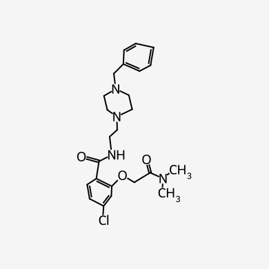 CN(C)C(=O)COc1cc(Cl)ccc1C(=O)NCCN1CCN(Cc2ccccc2)CC1